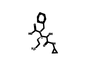 CCC[C@@H](C(O)C(=O)NC1CC1)N(Cc1ccccc1)C(=O)O